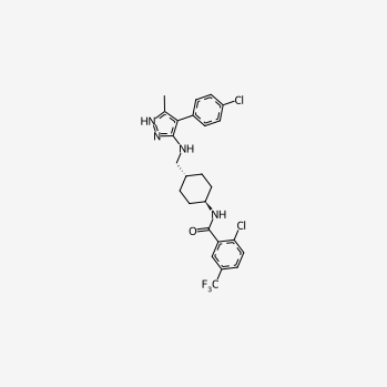 Cc1[nH]nc(NC[C@H]2CC[C@H](NC(=O)c3cc(C(F)(F)F)ccc3Cl)CC2)c1-c1ccc(Cl)cc1